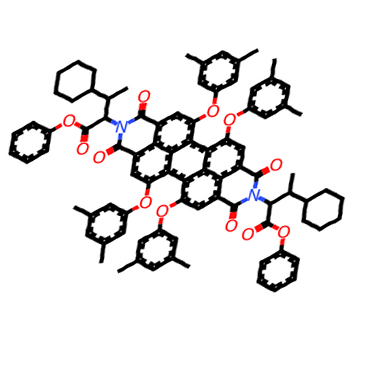 Cc1cc(C)cc(Oc2cc3c4c(cc(Oc5cc(C)cc(C)c5)c5c6c(Oc7cc(C)cc(C)c7)cc7c8c(cc(Oc9cc(C)cc(C)c9)c(c2c45)c86)C(=O)N(C(C(=O)Oc2ccccc2)C(C)C2CCCCC2)C7=O)C(=O)N(C(C(=O)Oc2ccccc2)C(C)C2CCCCC2)C3=O)c1